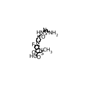 CC1Sc2c(C(=O)O)c(=O)c3cc(F)c(N4CCN(CC(=O)Nc5ncc(N)s5)CC4)cc3n21